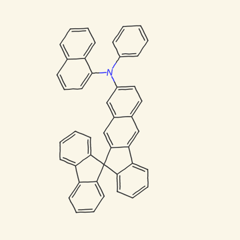 c1ccc(N(c2ccc3cc4c(cc3c2)C2(c3ccccc3-c3ccccc32)c2ccccc2-4)c2cccc3ccccc23)cc1